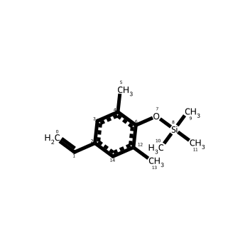 C=Cc1cc(C)c(O[Si](C)(C)C)c(C)c1